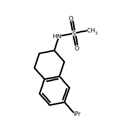 CC(C)c1ccc2c(c1)CC(NS(C)(=O)=O)CC2